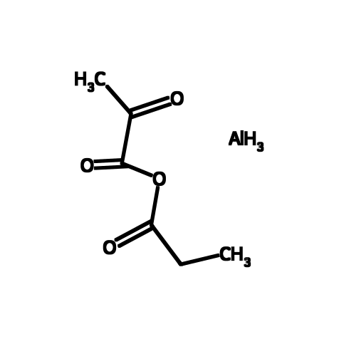 CCC(=O)OC(=O)C(C)=O.[AlH3]